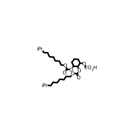 CC(C)CCCCCCCOC(=O)OC1CCCC(OC(=O)O)C1OC(=O)OCCCCCCCC(C)C